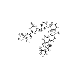 Cc1ccc2c(NS(=O)(=O)N3CCOC3=O)c(F)ccc2c1Oc1ncccc1-c1ccnc(NC2CC(F)CN(C(=O)OC(C)(C)C)C2)n1